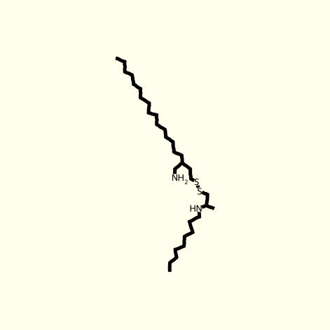 CCCCCCCCCCCCCCCCC(CN)CCSSCC(C)NCCCCCCCCC